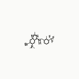 Cc1nc(NCc2cccc(C(F)(F)F)c2C)c2cc(P(C)C)c(Br)cc2n1